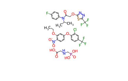 CC(C)N(C(=O)COc1nnc(C(F)(F)F)s1)c1ccc(F)cc1.CCOc1cc(Oc2ccc(C(F)(F)F)cc2Cl)ccc1[N+](=O)[O-].O=C(O)CNCP(=O)(O)O